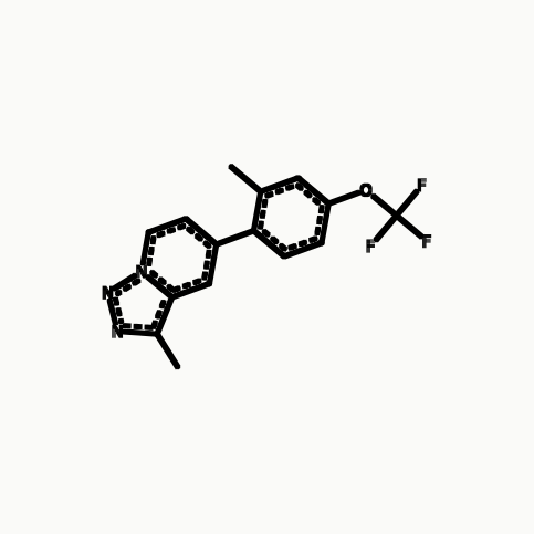 Cc1cc(OC(F)(F)F)ccc1-c1ccn2nnc(C)c2c1